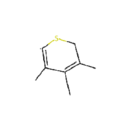 CC1=[C]SCC(C)=C1C